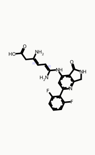 N/C(=C\C=C(/N)Nc1cc(-c2c(F)cccc2F)nc2c1C(=O)NC2)CC(=O)O